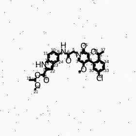 COc1cn(CC(=O)Nc2ccc3[nH]c(C(=O)OC(C)OC)cc3c2)c(=O)cc1-c1cc(Cl)ccc1C(C)=O